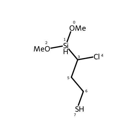 CO[SiH](OC)C(Cl)CCS